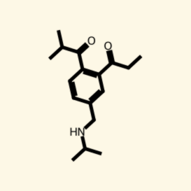 CCC(=O)c1cc(CNC(C)C)ccc1C(=O)C(C)C